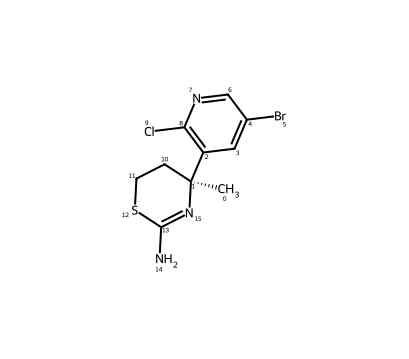 C[C@@]1(c2cc(Br)cnc2Cl)CCSC(N)=N1